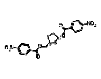 O=C(OC[C@H]1SC[C@H](OC(=O)c2ccc([N+](=O)[O-])cc2)S1)c1ccc([N+](=O)[O-])cc1